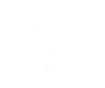 C=C[SiH](C=C)OCCOC